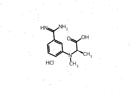 C[C@H](C(=O)O)N(C)c1cccc(C(=N)N)c1.Cl